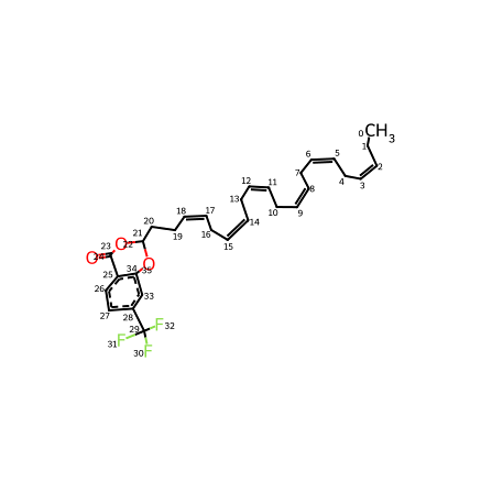 CC/C=C\C/C=C\C/C=C\C/C=C\C/C=C\C/C=C\CCC1OC(=O)c2ccc(C(F)(F)F)cc2O1